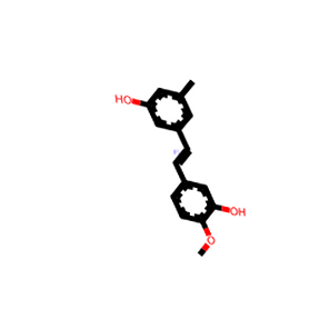 COc1ccc(/C=C/c2cc(C)cc(O)c2)cc1O